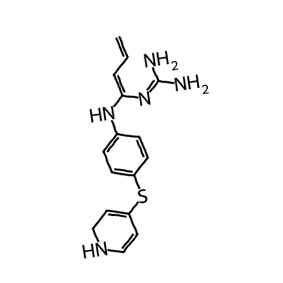 C=C/C=C(\N=C(N)N)Nc1ccc(SC2=CCNC=C2)cc1